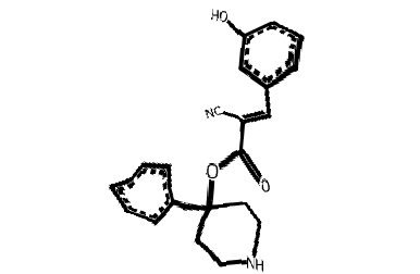 N#C/C(=C\c1cccc(O)c1)C(=O)OC1(c2ccccc2)CCNCC1